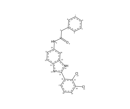 O=C(Cc1ccccc1)Nc1ccc2nc(-c3cccc(Cl)c3Cl)[nH]c2c1